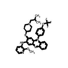 COc1ncccc1Nc1cc2nc3ccccc3n(-c3ccc(OC(F)(F)F)cc3)c-2c/c1=N\C1CCN(CC(C)C)CC1